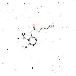 CCOc1c(CC(=O)OCCO)cccc1C(C)(C)C